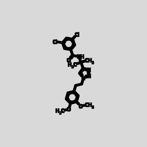 COc1ccc(CCn2cc(C(C)(C)NC(=O)c3cc(Cl)cc(Cl)c3)nn2)cc1OC